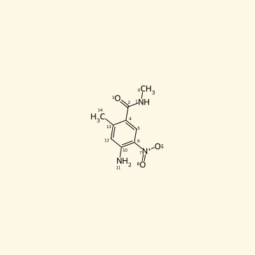 CNC(=O)c1cc([N+](=O)[O-])c(N)cc1C